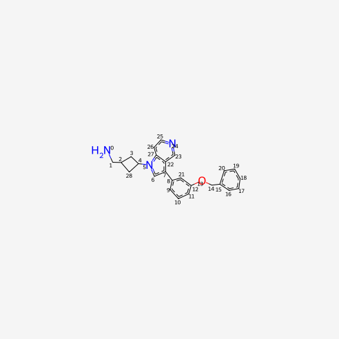 NCC1CC(n2cc(-c3cccc(OCc4ccccc4)c3)c3cnccc32)C1